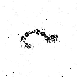 COc1cc(N2CCC(N(C)CCCOc3ccc(N4CCC(=O)N(COCC[Si](C)(C)C)C4=O)cc3)CC2)c(C)cc1Nc1ncc(Br)c(Nc2ccc3nccnc3c2P(C)(C)=O)n1